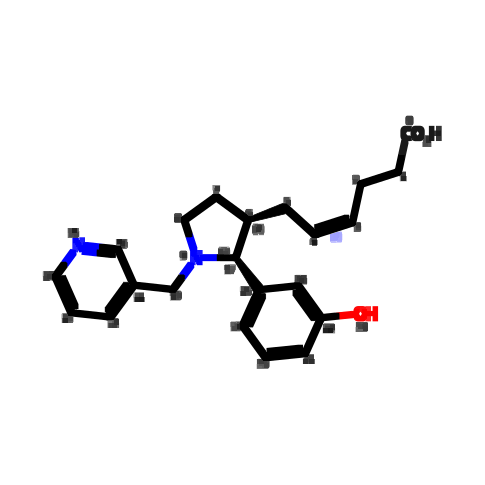 O=C(O)CC/C=C\C[C@@H]1CCN(Cc2cccnc2)[C@@H]1c1cccc(O)c1